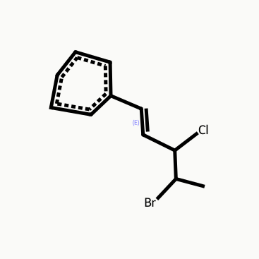 CC(Br)C(Cl)/C=C/c1ccccc1